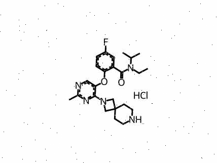 CCN(C(=O)c1cc(F)ccc1Oc1cnc(C)nc1N1CC2(CCNCC2)C1)C(C)C.Cl